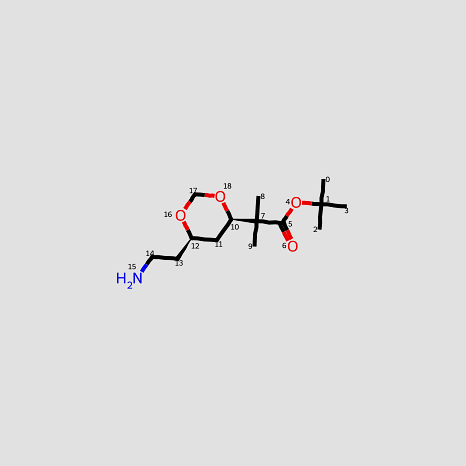 CC(C)(C)OC(=O)C(C)(C)[C@H]1C[C@@H](CCN)OCO1